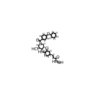 Cl.O=C(/C=C/c1cnc(NC2CCN(C(=O)c3ccc(Oc4ccccc4)cc3)CC2)c(Cl)c1)NO